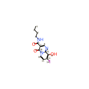 CCCCNC(=O)c1cnc2c(O)c(I)ccn2c1=O